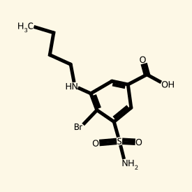 CCCCNc1cc(C(=O)O)cc(S(N)(=O)=O)c1Br